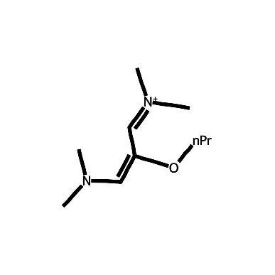 CCCOC(=CN(C)C)C=[N+](C)C